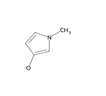 Cn1ccc([O])c1